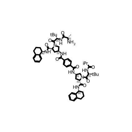 CC(C)C(=O)N[C@H](C(=O)N1C[C@@H](NC(=O)c2ccc(C(=O)N[C@H]3C[C@@H](C(=O)N[C@@H]4CCCc5ccccc54)N(C(=O)[C@@H](NC(=O)[C@H](C)N)C(C)(C)C)C3)cc2)C[C@H]1C(=O)N[C@@H]1CCCc2ccccc21)C(C)(C)C